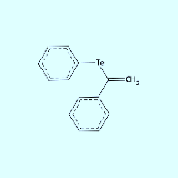 C=C([Te]c1ccccc1)c1ccccc1